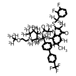 [2H]c1c(C)c([2H])c2c(=O)c([2H])c(SC([2H])([2H])c3cccc(F)c3F)n(C([2H])([2H])C(=O)N(C([2H])([2H])c3ccc(-c4ccc(C(F)(F)F)cc4)cc3)C3([2H])C([2H])([2H])C([2H])([2H])N(CCOC([2H])([2H])[2H])C([2H])([2H])C3([2H])[2H])c2c1[2H]